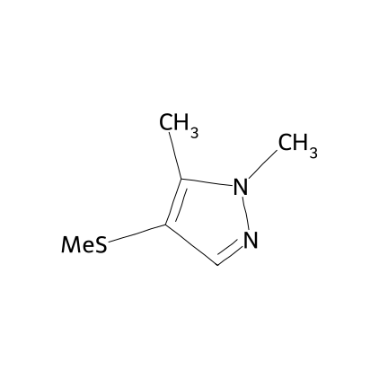 CSc1cnn(C)c1C